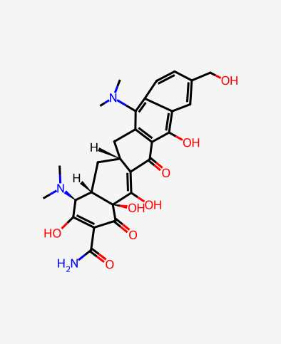 CN(C)c1c2c(c(O)c3cc(CO)ccc13)C(=O)C1=C(O)[C@]3(O)C(=O)C(C(N)=O)=C(O)[C@@H](N(C)C)[C@@H]3C[C@@H]1C2